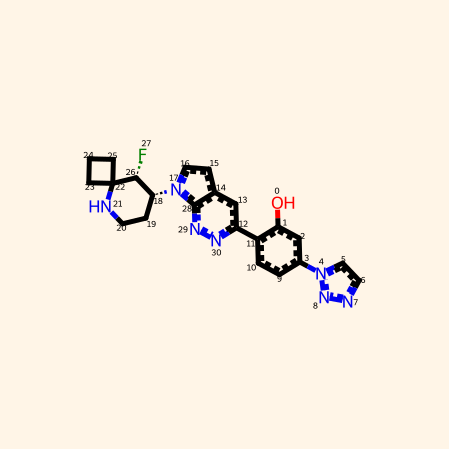 Oc1cc(-n2ccnn2)ccc1-c1cc2ccn([C@@H]3CCNC4(CCC4)[C@@H]3F)c2nn1